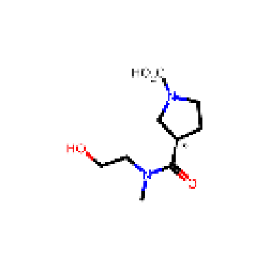 CN(CCO)C(=O)[C@@H]1CCN(C(=O)O)C1